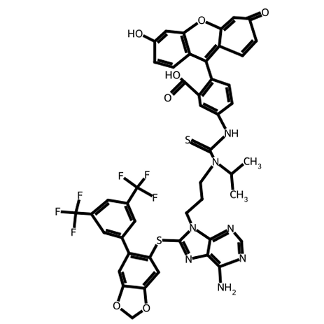 CC(C)N(CCCn1c(Sc2cc3c(cc2-c2cc(C(F)(F)F)cc(C(F)(F)F)c2)OCO3)nc2c(N)ncnc21)C(=S)Nc1ccc(-c2c3ccc(=O)cc-3oc3cc(O)ccc23)c(C(=O)O)c1